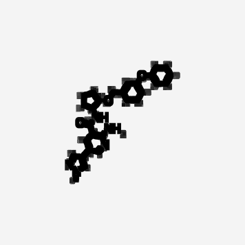 Cn1cc(-c2cnc(N)c(C(=O)N[C@H]3CCC[C@@H]3OCc3cccc(Oc4ccccc4)c3)c2)cn1